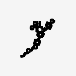 CCCCOCCOc1ccc(-c2ccc3c(c2)C=C(C(=O)O)CCN3Cc2ccc(OC)cc2)cc1